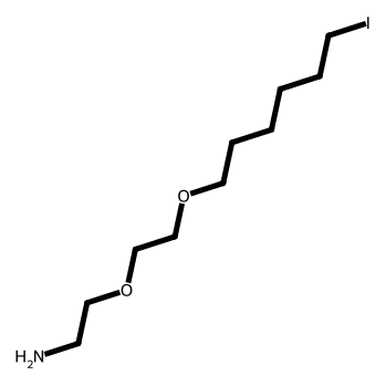 NCCOCCOCCCCCCI